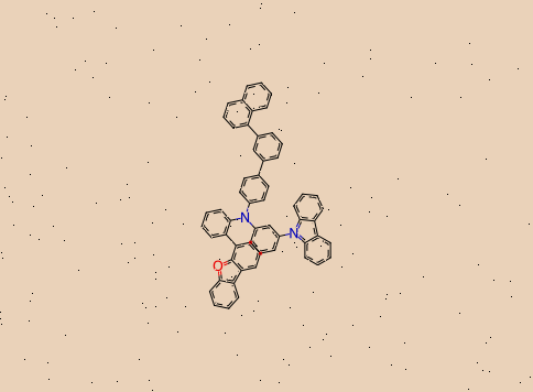 c1cc(-c2ccc(N(c3cccc(-n4c5ccccc5c5ccccc54)c3)c3ccccc3-c3cccc4c3oc3ccccc34)cc2)cc(-c2cccc3ccccc23)c1